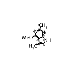 COc1nc(C)nc2[nH]cc(C)c12